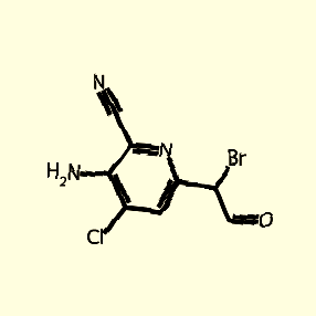 N#Cc1nc(C(Br)C=O)cc(Cl)c1N